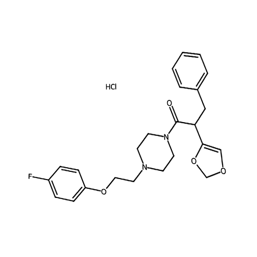 Cl.O=C(C(Cc1ccccc1)C1=COCO1)N1CCN(CCOc2ccc(F)cc2)CC1